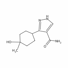 CC1(O)CCC(c2n[nH]cc2C(N)=O)CC1